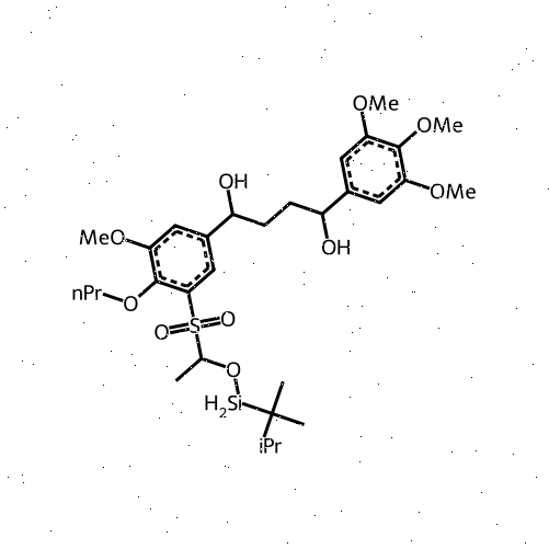 CCCOc1c(OC)cc(C(O)CCC(O)c2cc(OC)c(OC)c(OC)c2)cc1S(=O)(=O)C(C)O[SiH2]C(C)(C)C(C)C